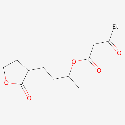 CCC(=O)CC(=O)OC(C)CCC1CCOC1=O